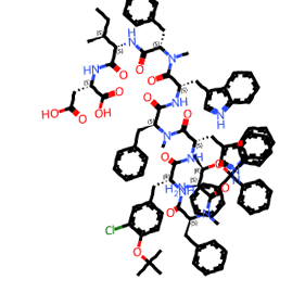 CC[C@H](C)[C@H](NC(=O)[C@H](Cc1ccccc1)N(C)C(=O)[C@H](Cc1c[nH]c2ccccc12)NC(=O)[C@H](Cc1ccccc1)N(C)C(=O)[C@H](Cc1c[nH]c2ccccc12)NC(=O)[C@@H](Cc1ccc(OC(C)(C)C)c(Cl)c1)NC(=O)[C@H](Cc1ccccc1)N(C)C(=O)[C@@H](N)[C@@H](C)OC(c1ccccc1)(c1ccccc1)c1ccccc1)C(=O)N[C@@H](CC(=O)O)C(=O)O